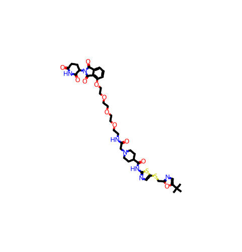 CC(C)(C)c1cnc(CSc2cnc(NC(=O)C3CCN(CC(=O)NCCOCCOCCOCCOc4cccc5c4C(=O)N(C4CCC(=O)NC4=O)C5=O)CC3)s2)o1